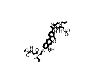 CCCN(Cc1ncc(-c2ccc3c(c2)COc2cc4c(NC)c(/N=C/CN(C(=O)CNC(=O)OC)[C@@H](C)CC)ccc4cc2-3)[nH]1)C(=O)CNC(=O)OC